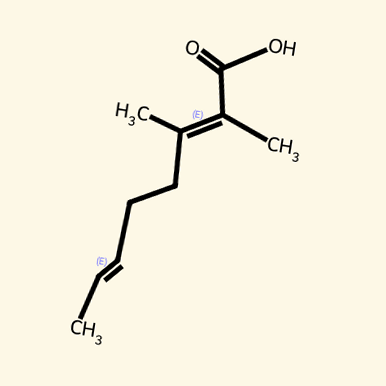 C/C=C/CC/C(C)=C(\C)C(=O)O